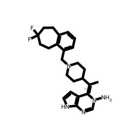 C/C(=C1/c2cc[nH]c2N=CN1N)C1CCN(Cc2cccc3c2CCC(F)(F)CC3)CC1